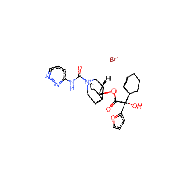 O=C(O[C@H]1C[N+]2(C(=O)Nc3cccnn3)CCC1CC2)C(O)(c1ccco1)C1CCCCC1.[Br-]